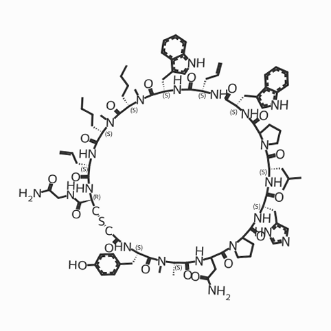 C=CC[C@@H]1NC(=O)[C@H](Cc2c[nH]c3ccccc23)NC(=O)C2CCCN2C(=O)[C@H](CC(C)C)NC(=O)[C@H](Cc2cnc[nH]2)NC(=O)C2CCCN2C(=O)C(CC(N)=O)NC(=O)[C@H](C)N(C)C(=O)[C@H](Cc2ccc(O)cc2)NC(=O)CSC[C@@H](C(=O)NCC(N)=O)NC(=O)[C@H](CC=C)NC(=O)[C@H](CCCC)N(C)C(=O)[C@H](CCCC)N(C)C(=O)[C@H](Cc2c[nH]c3ccccc23)NC1=O